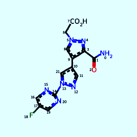 NC(=O)c1nn(CC(=O)O)cc1-c1cnn(-c2ncc(F)cn2)c1